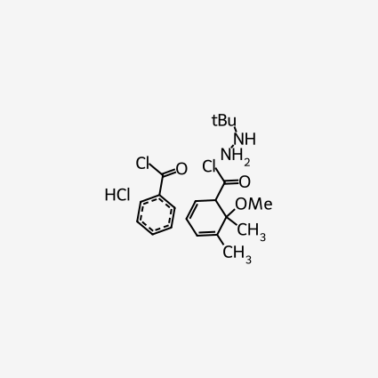 CC(C)(C)NN.COC1(C)C(C)=CC=CC1C(=O)Cl.Cl.O=C(Cl)c1ccccc1